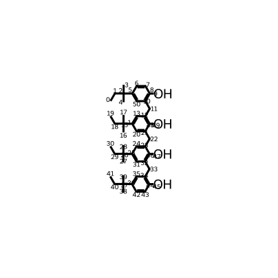 CCC(C)(C)c1ccc(O)c(Cc2cc(C(C)(C)CC)cc(Cc3cc(C(C)(C)CC)cc(Cc4cc(C(C)(C)CC)ccc4O)c3O)c2O)c1